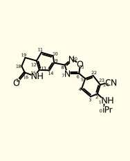 CC(C)Nc1ccc(-c2nc(-c3ccc4c(c3)NC(=O)CC4)no2)cc1C#N